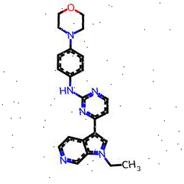 CCn1cc(-c2ccnc(Nc3ccc(N4CCOCC4)cc3)n2)c2ccncc21